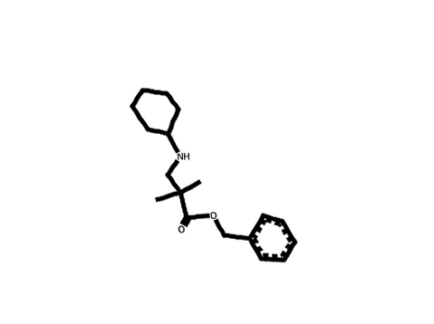 CC(C)(CNC1CCCCC1)C(=O)OCc1ccccc1